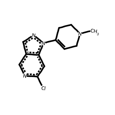 CN1CC=C(n2ncc3cnc(Cl)cc32)CC1